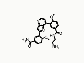 COc1ccc(C(=O)NCCN)cc1-c1ccnc2cc(C3=CC(C(N)=O)=CCC3OC)oc12